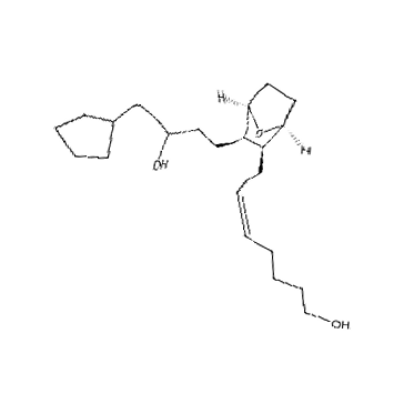 OCCCC/C=C\C[C@H]1[C@@H](CCC(O)CC2CCCC2)[C@H]2CC[C@@H]1O2